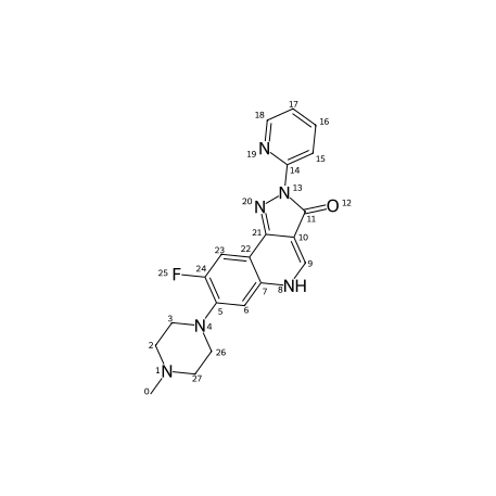 CN1CCN(c2cc3[nH]cc4c(=O)n(-c5ccccn5)nc-4c3cc2F)CC1